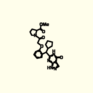 COC(=O)C1CCCN1C(=O)COc1ccccc1C(c1nc2[nH]ncc2c(=O)[nH]1)C1CCCC1